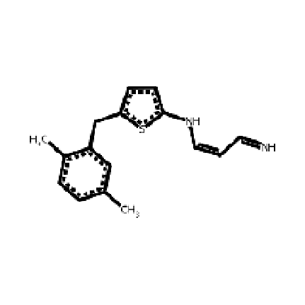 Cc1ccc(C)c(Cc2ccc(N/C=C\C=N)s2)c1